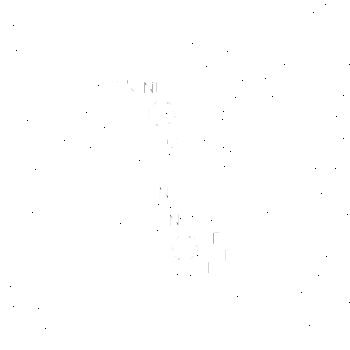 O=C1Cc2cc(OCCCN3CCN(c4cccc(C(F)(F)F)c4)CC3)ccc2N1